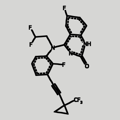 O=c1nc(N(CC(F)F)c2cccc(C#CC3(C(F)(F)F)CC3)c2F)c2cc(F)ccc2[nH]1